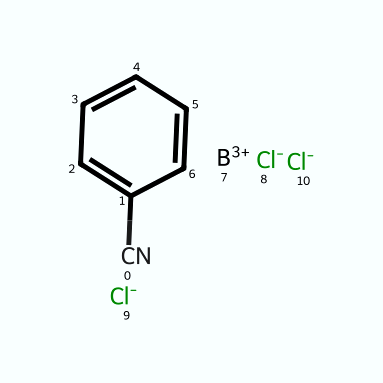 N#Cc1ccccc1.[B+3].[Cl-].[Cl-].[Cl-]